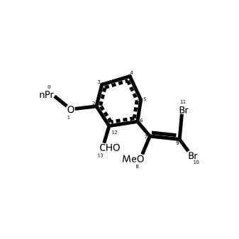 CCCOc1cccc(C(OC)=C(Br)Br)c1C=O